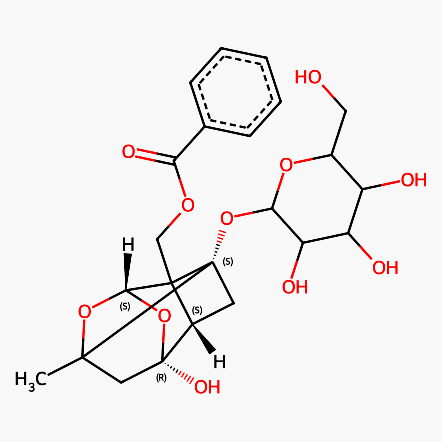 CC12C[C@@]3(O)O[C@H](O1)C1(COC(=O)c4ccccc4)[C@@H]3C[C@@]21OC1OC(CO)C(O)C(O)C1O